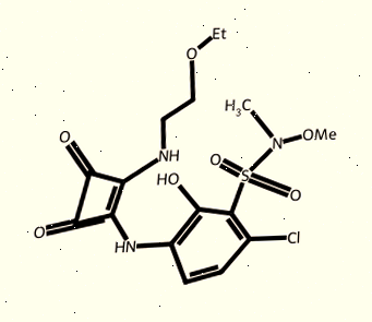 CCOCCNc1c(Nc2ccc(Cl)c(S(=O)(=O)N(C)OC)c2O)c(=O)c1=O